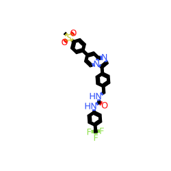 CS(=O)(=O)c1ccc(-c2ccn3c(-c4ccc(CNC(=O)Nc5ccc(C(F)(F)F)cc5)cc4)cnc3c2)cc1